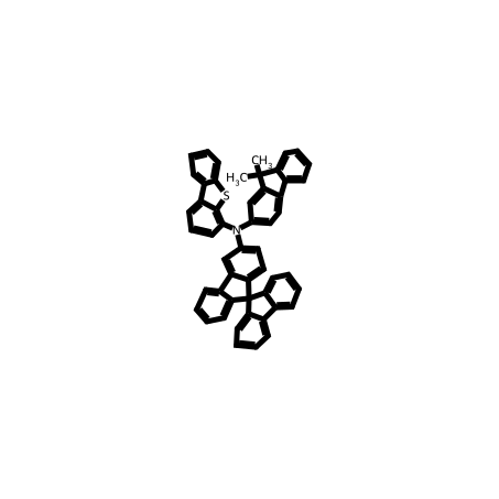 CC1(C)c2ccccc2-c2ccc(N(c3ccc4c(c3)-c3ccccc3C43c4ccccc4-c4ccccc43)c3cccc4c3sc3ccccc34)cc21